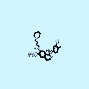 COc1cc2ccnc(Nc3ccc(C)c(Cl)c3)c2cc1NCCCCN1CCCCC1